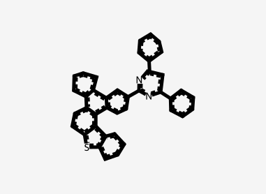 c1ccc(-c2cc(-c3ccccc3)nc(-c3ccc4c(c3)c3ccccc3c3ccc5sc6ccccc6c5c34)n2)cc1